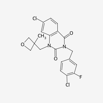 CC1(Cn2c(=O)n(Cc3ccc(Cl)c(F)c3)c(=O)c3ccc(Cl)cc32)COC1